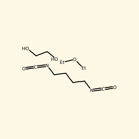 CCOCC.O=C=NCCCCN=C=O.OCCO